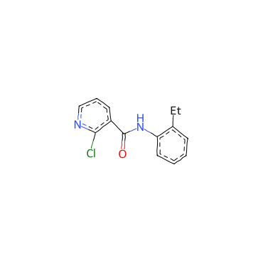 CCc1ccccc1NC(=O)c1cccnc1Cl